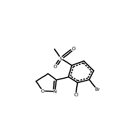 CS(=O)(=O)c1ccc(Br)c(Cl)c1C1=NOCC1